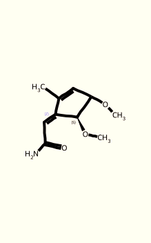 COC1C=C(C)/C(=C/C(N)=O)[C@@H]1OC